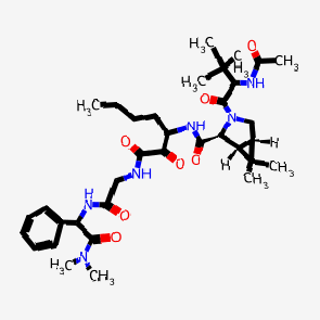 CCCCC(NC(=O)[C@@H]1[C@@H]2[C@H](CN1C(=O)C(NC(C)=O)C(C)(C)C)C2(C)C)C(=O)C(=O)NCC(=O)NC(C(=O)N(C)C)c1ccccc1